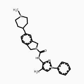 CN1CCC(c2ccc3c(c2)CN(C(=O)Nc2nn(-c4ccccc4)cc2N)C3)CC1